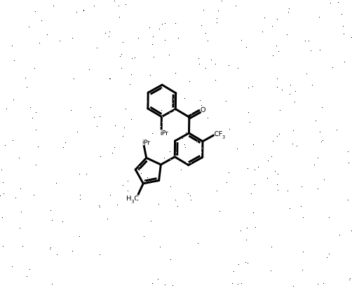 CC1=CC(c2ccc(C(F)(F)F)c(C(=O)c3ccccc3C(C)C)c2)C(C(C)C)=C1